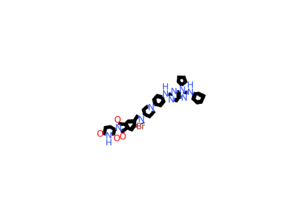 CN(Cc1cc2c(cc1Br)C(=O)N(C1CCC(=O)NC1=O)C2=O)C1CCN(c2ccc(Nc3ncc4nc(Nc5ccccc5)n(C5CCCC5)c4n3)cc2)CC1